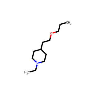 CCCOCCC1CCN(CC)CC1